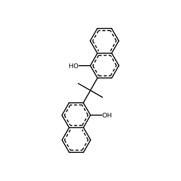 CC(C)(c1ccc2ccccc2c1O)c1ccc2ccccc2c1O